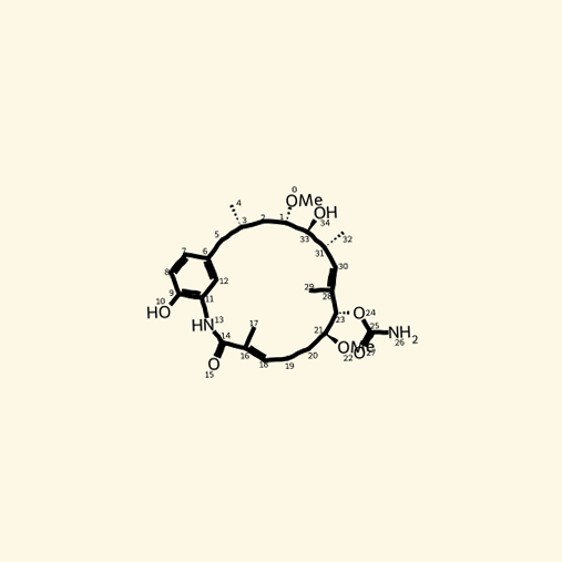 CO[C@H]1C[C@@H](C)Cc2ccc(O)c(c2)NC(=O)/C(C)=C/CC[C@H](OC)[C@@H](OC(N)=O)/C(C)=C/[C@@H](C)[C@@H]1O